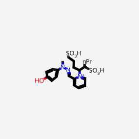 CCCC(C(CCCS(=O)(=O)O)[n+]1ccccc1C=NN(C)c1ccc(O)cc1)S(=O)(=O)O